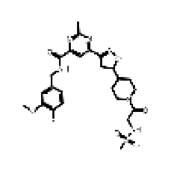 COc1cc(CNC(=O)c2cc(C3=NOC(C4CCN(C(=O)CNS(C)(=O)=O)CC4)C3)nc(C)n2)ccc1F